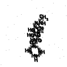 CCCNc1ncnc2c1ncn2[C@@H]1O[C@H](C(=O)NCC(=O)N2CCNCCNCCNCC2)[C@@H](O)[C@H]1O